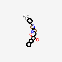 O=C1C(=Cc2nc3sc(-c4ccc(C(F)(F)F)cc4)nc3s2)C(=O)c2cc3ccccc3cc21